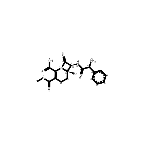 COC(=O)C1=C(C(=O)O)N2C(=O)[C@@H](NC(=O)C(N)c3ccccc3)[C@@H]2CC1